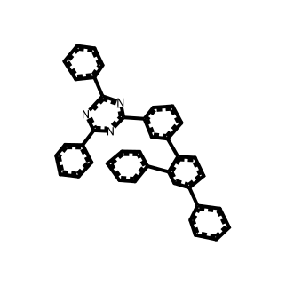 c1ccc(-c2ccc(-c3cccc(-c4nc(-c5ccccc5)nc(-c5ccccc5)n4)c3)c(-c3ccccc3)c2)cc1